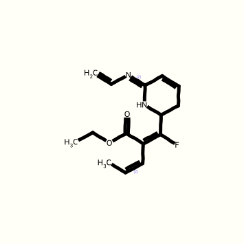 C=C/N=C1/C=CCC(C(F)=C(/C=C\C)C(=O)OCC)N1